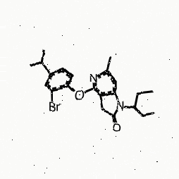 CCC(CC)N1C(=O)Cc2c1cc(C)nc2Oc1ccc(C(C)C)cc1Br